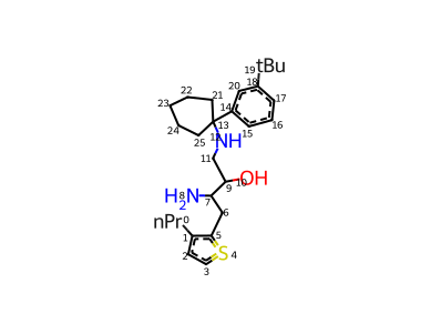 CCCc1ccsc1CC(N)C(O)CNC1(c2cccc(C(C)(C)C)c2)CCCCC1